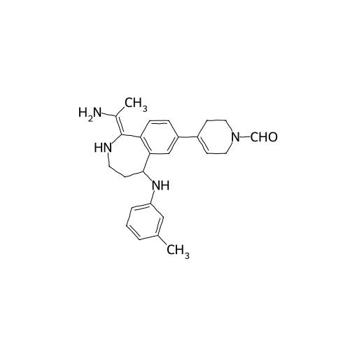 C/C(N)=C1/NCCC(Nc2cccc(C)c2)c2cc(C3=CCN(C=O)CC3)ccc21